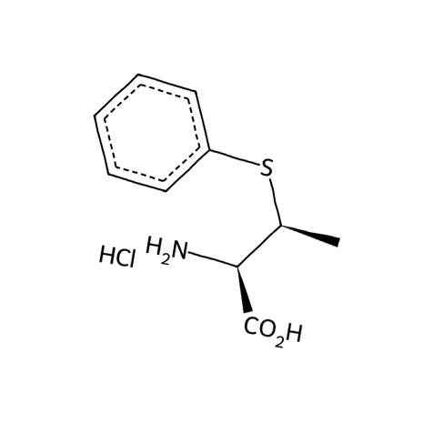 C[C@H](Sc1ccccc1)[C@H](N)C(=O)O.Cl